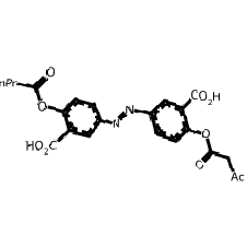 CCCC(=O)Oc1ccc(/N=N/c2ccc(OC(=O)CC(C)=O)c(C(=O)O)c2)cc1C(=O)O